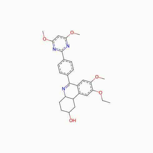 CCOc1cc2c(cc1OC)C(c1ccc(-c3nc(OC)cc(OC)n3)cc1)=NC1CCC(O)CC21